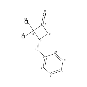 O=C1C[C@H](Cc2ccccc2)C1(Cl)Cl